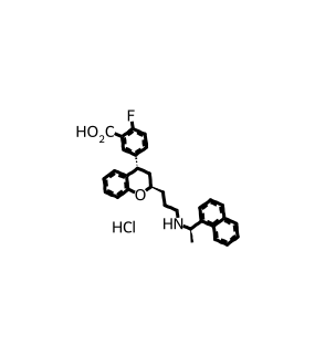 C[C@@H](NCCC[C@@H]1C[C@@H](c2ccc(F)c(C(=O)O)c2)c2ccccc2O1)c1cccc2ccccc12.Cl